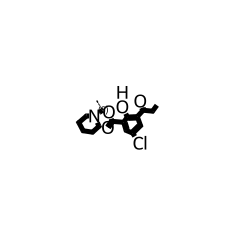 CCC(=O)c1cc(Cl)cc(C(=O)O[C@@H](C)N2CCCCC2)c1O